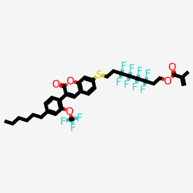 C=C(C)C(=O)OCCC(F)(F)C(F)(F)C(F)(F)C(F)(F)CCSc1ccc2cc(-c3ccc(CCCCCC)cc3OC(F)(F)F)c(=O)oc2c1